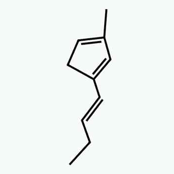 CCC=CC1=CC(C)=CC1